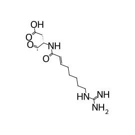 N=C(N)NCCCCCC=CC(=O)N[C@H]([C]=O)CC(=O)O